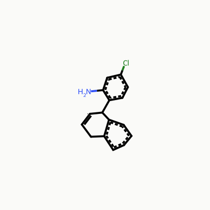 Nc1cc(Cl)ccc1C1[C]=CCc2ccccc21